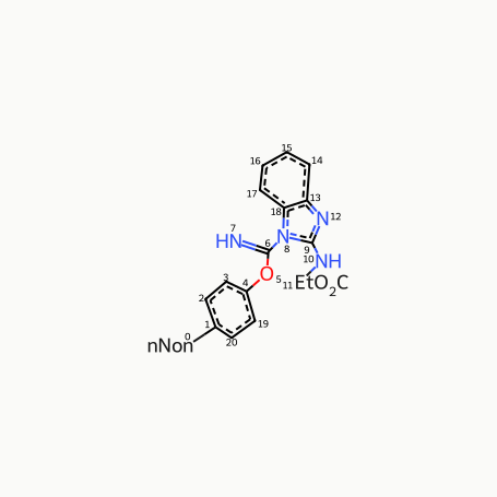 CCCCCCCCCc1ccc(OC(=N)n2c(NC(=O)OCC)nc3ccccc32)cc1